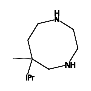 CC(C)C1(C)CCNCCNC1